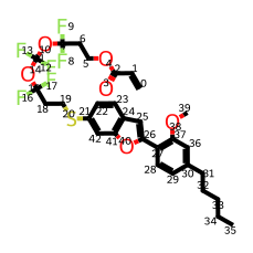 C=CC(=O)OCCC(F)(F)OC(F)(F)OC(F)(F)CCSc1ccc2cc(-c3ccc(CCCCC)cc3OC)oc2c1